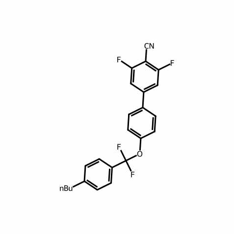 CCCCc1ccc(C(F)(F)Oc2ccc(-c3cc(F)c(C#N)c(F)c3)cc2)cc1